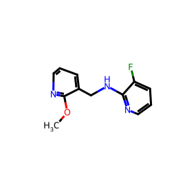 COc1ncccc1CNc1ncccc1F